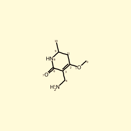 COC1=C(CN)C(=O)NC(C)C1